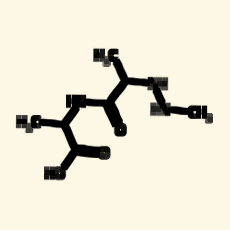 CNNC(C)C(=O)NC(C)C(=O)O